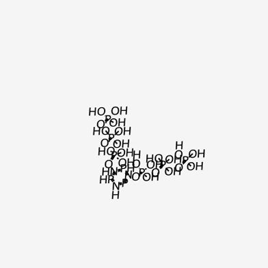 O=P(O)(O)O.O=P(O)(O)O.O=P(O)(O)O.O=P(O)(O)O.O=P(O)(O)O.O=P(O)(O)O.n1p[nH][pH][nH][pH]1